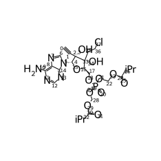 C#C[C@]1(O)[C@@H](n2cnc3c(N)ncnc32)O[C@H](COP(=O)(OCOC(=O)C(C)C)OCOC(=O)C(C)C)[C@]1(O)CCCl